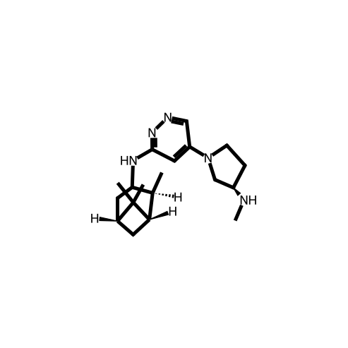 CN[C@@H]1CCN(c2cnnc(NC3C[C@H]4C[C@@H]([C@@H]3C)C4(C)C)c2)C1